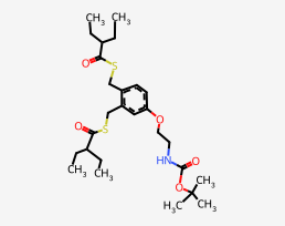 CCC(CC)C(=O)SCc1ccc(OCCNC(=O)OC(C)(C)C)cc1CSC(=O)C(CC)CC